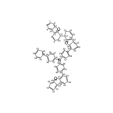 C1=Cc2c(oc3ccccc23)C(C2CC=Cc3c2oc2c(-c4ccc(N(c5ccc(-c6ccccc6)cc5)c5ccc(-c6cccc7c6oc6ccccc67)cc5)cc4)cccc32)C1